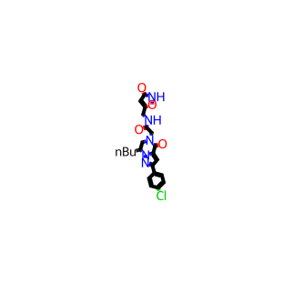 CCCCC1CN(CC(=O)NCc2cc(=O)[nH]o2)C(=O)c2cc(-c3ccc(Cl)cc3)nn21